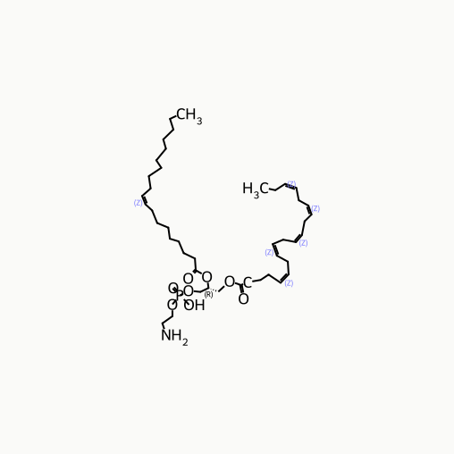 CC/C=C\C/C=C\C/C=C\C/C=C\C/C=C\CCCC(=O)OC[C@H](COP(=O)(O)OCCN)OC(=O)CCCCCCC/C=C\CCCCCCCCC